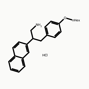 CCCCCCOc1ccc(CC(CN)c2ccc3ccccc3c2)cc1.Cl